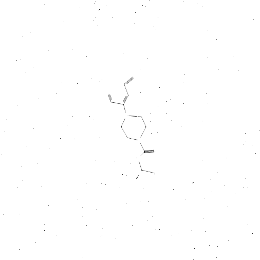 C=C/C=C(\C=C)N1CCN(C(=O)N[C@H](C(=O)O)C(C)C)CC1